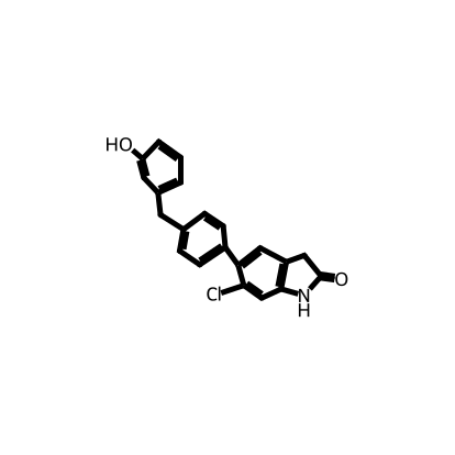 O=C1Cc2cc(-c3ccc(Cc4cccc(O)c4)cc3)c(Cl)cc2N1